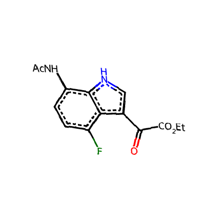 CCOC(=O)C(=O)c1c[nH]c2c(NC(C)=O)ccc(F)c12